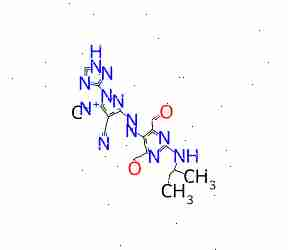 [C-]#[N+]c1c(C#N)c(N=Nc2c(C=O)nc(NC(C)CC)nc2C=O)nn1-c1nc[nH]n1